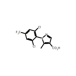 Cc1c(C(=O)O)cnn1-c1c(Cl)cc(C(F)(F)F)cc1Cl